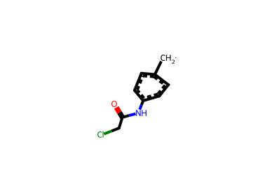 [CH2]c1ccc(NC(=O)CCl)cc1